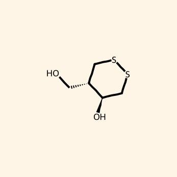 OC[C@@H]1CSSC[C@H]1O